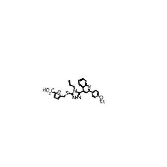 C=CCn1c(SCc2ccc(C(=O)O)o2)nnc1-c1cc(-c2ccc(OCC)cc2)nc2ccccc12